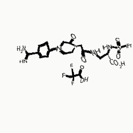 CC(C)S(=O)(=O)N[C@@H](CNC(=O)CN1CCN(c2ccc(C(=N)N)cc2)CC1=O)C(=O)O.O=C(O)C(F)(F)F